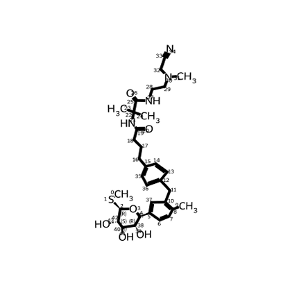 CS[C@H]1O[C@@H](c2ccc(C)c(Cc3ccc(CCCC(=O)NC(C)(C)C(=O)NCCN(C)CC#N)cc3)c2)[C@H](O)[C@@H](O)[C@@H]1O